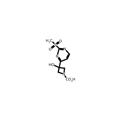 CS(=O)(=O)c1nccc(C2(O)CN(C(=O)O)C2)n1